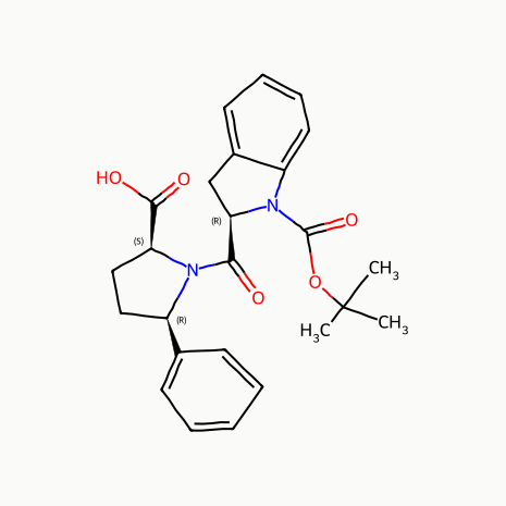 CC(C)(C)OC(=O)N1c2ccccc2C[C@@H]1C(=O)N1[C@@H](c2ccccc2)CC[C@H]1C(=O)O